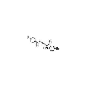 CCc1c(C#CCNc2ccc(F)cc2)[nH]c2ccc(Br)cc12